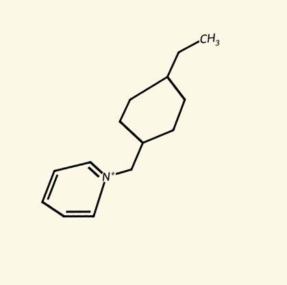 CCC1CCC(C[n+]2ccccc2)CC1